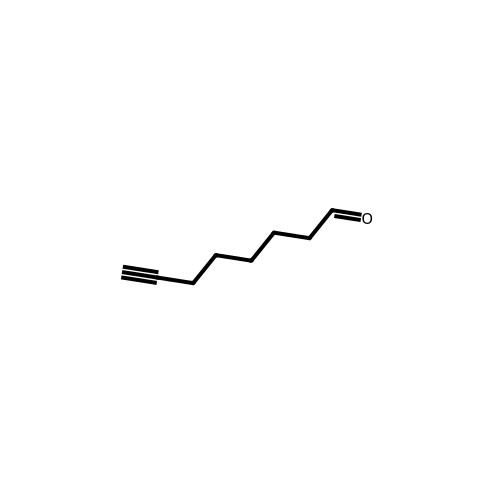 C#CCCCCCC=O